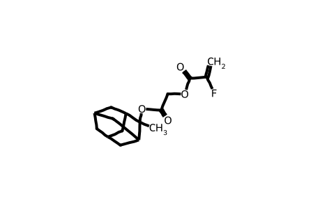 C=C(F)C(=O)OCC(=O)OC1(C)C2CC3CC(C2)CC1C3